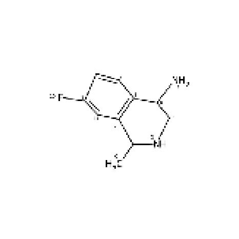 CC1NCC(N)c2ccc(F)cc21